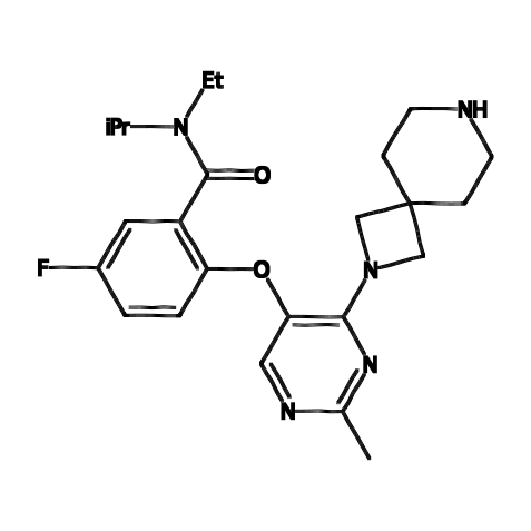 CCN(C(=O)c1cc(F)ccc1Oc1cnc(C)nc1N1CC2(CCNCC2)C1)C(C)C